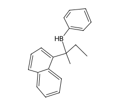 CCC(C)(Bc1ccccc1)c1cccc2ccccc12